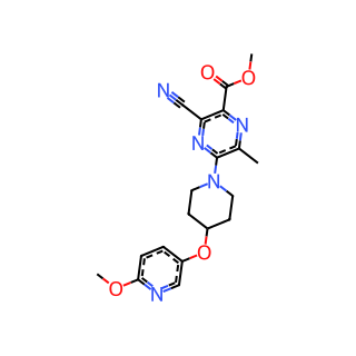 COC(=O)c1nc(C)c(N2CCC(Oc3ccc(OC)nc3)CC2)nc1C#N